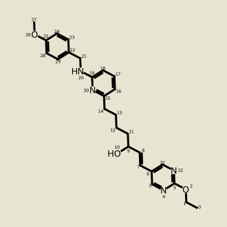 CCOc1ncc(C=CC(O)CCCCc2cccc(NCc3ccc(OC)cc3)n2)cn1